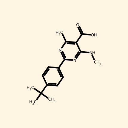 CNc1nc(-c2ccc(C(C)(C)C)cc2)nc(C)c1C(=O)O